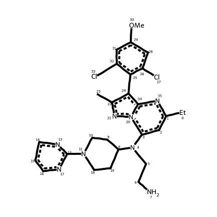 CCc1cc(N(CCN)C2CCN(c3ncccn3)CC2)n2nc(C)c(-c3c(Cl)cc(OC)cc3Cl)c2n1